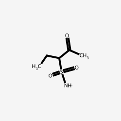 CCC(C(C)=O)S([NH])(=O)=O